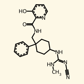 CN/C(=N\C#N)NC1CCC(CNC(=O)c2ncccc2O)(c2ccccc2)CC1